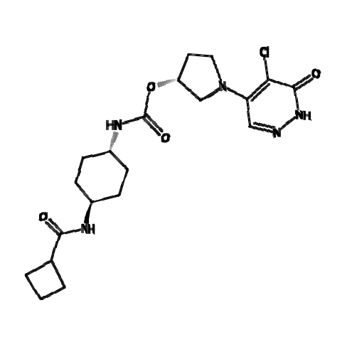 O=C(N[C@H]1CC[C@H](NC(=O)C2CCC2)CC1)O[C@@H]1CCN(c2cn[nH]c(=O)c2Cl)C1